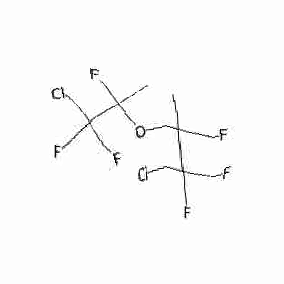 CC(F)(OC(C)(F)C(F)(F)Cl)C(F)(F)Cl